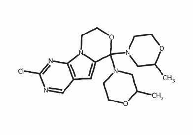 CC1CN(C2(N3CCOC(C)C3)OCCn3c2cc2cnc(Cl)nc23)CCO1